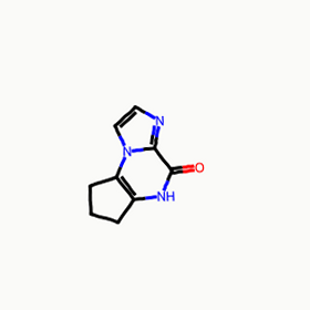 O=c1[nH]c2c(n3ccnc13)CCC2